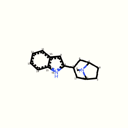 CN1C2CCC1CC(c1cc3ccccc3[nH]1)C2